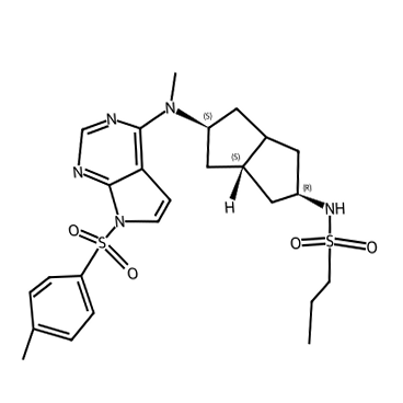 CCCS(=O)(=O)N[C@@H]1CC2C[C@H](N(C)c3ncnc4c3ccn4S(=O)(=O)c3ccc(C)cc3)C[C@H]2C1